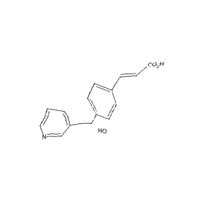 Cl.O=C(O)C=Cc1ccc(Cc2cccnc2)cc1